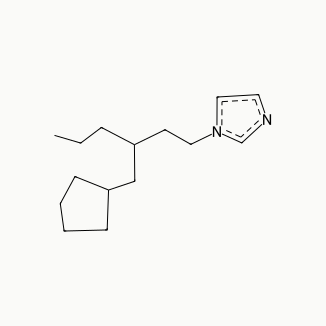 CCCC(CCn1ccnc1)CC1CCCC1